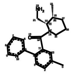 Cc1ccc(-c2ccccn2)c(C(=O)N2CCC[C@@H](C)[C@H]2CN)c1